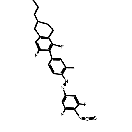 CCCC1CCc2c(cc(F)c(-c3ccc(N=Nc4cc(F)c(N=C=S)c(F)c4)c(C)c3)c2F)C1